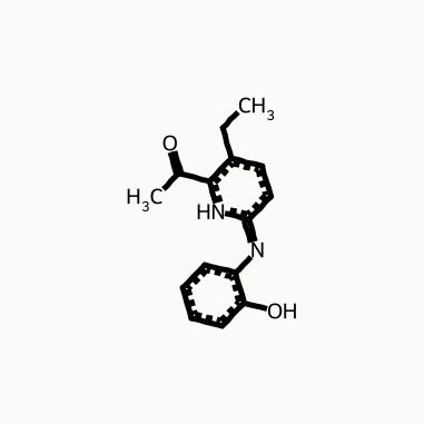 CCc1ccc(=Nc2ccccc2O)[nH]c1C(C)=O